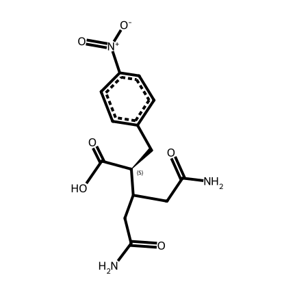 NC(=O)CC(CC(N)=O)[C@H](Cc1ccc([N+](=O)[O-])cc1)C(=O)O